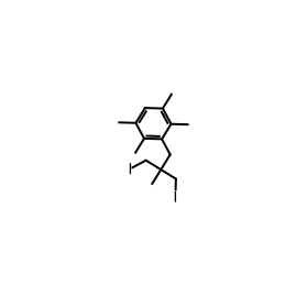 Cc1cc(C)c(C)c(CC(C)(CI)CI)c1C